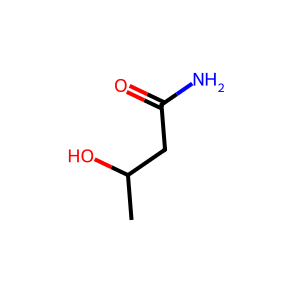 CC(O)CC(N)=O